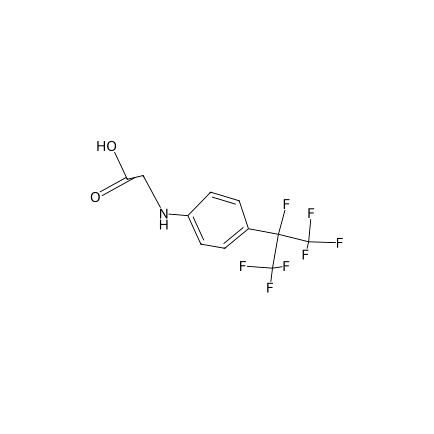 O=C(O)CNc1ccc(C(F)(C(F)(F)F)C(F)(F)F)cc1